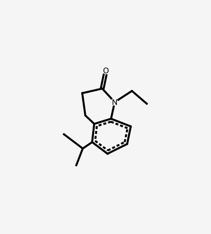 CCN1C(=O)CCc2c(C(C)C)cccc21